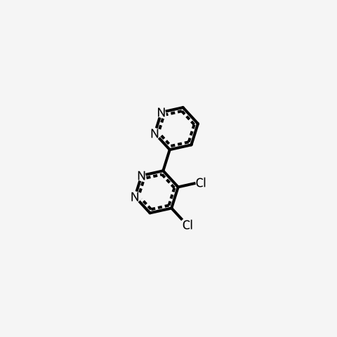 Clc1cnnc(-c2cccnn2)c1Cl